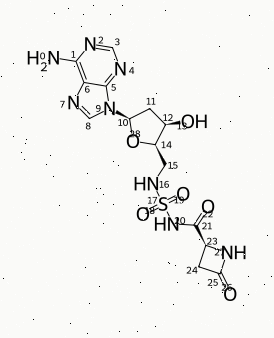 Nc1ncnc2c1ncn2[C@H]1C[C@@H](O)[C@@H](CNS(=O)(=O)NC(=O)[C@@H]2CC(=O)N2)O1